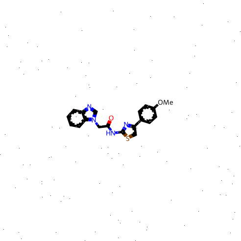 COc1ccc(-c2csc(NC(=O)Cn3cnc4ccccc43)n2)cc1